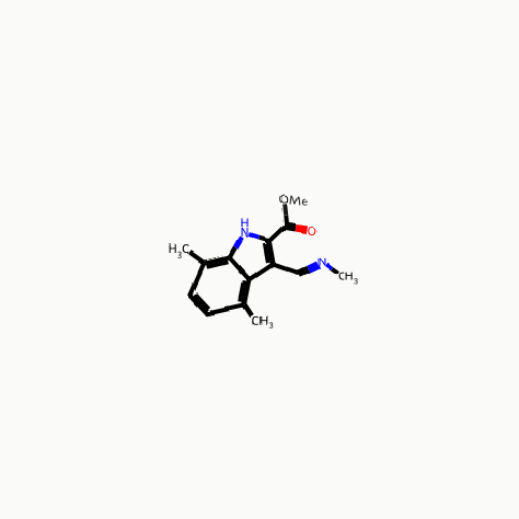 CN=Cc1c(C(=O)OC)[nH]c2c(C)ccc(C)c12